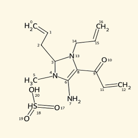 C=CCC1N(C)C(N)=C(C(=O)C=C)N1CC=C.O=[SH](=O)O